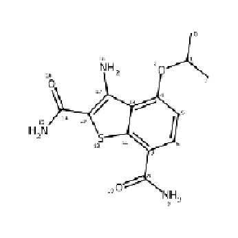 CC(C)Oc1ccc(C(N)=O)c2sc(C(N)=O)c(N)c12